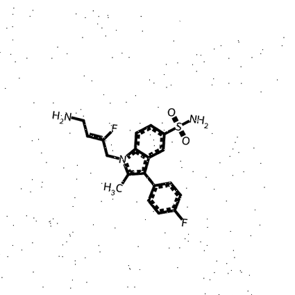 Cc1c(-c2ccc(F)cc2)c2cc(S(N)(=O)=O)ccc2n1CC(F)=CCN